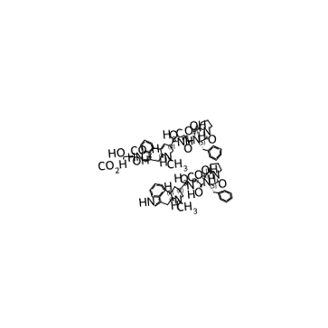 CN1C[C@H](C(=O)N[C@]2(C)O[C@@]3(O)[C@@H]4CCCN4C(=O)[C@H](Cc4ccccc4)N3C2=O)C=C2c3cccc4[nH]cc(c34)C[C@H]21.CN1C[C@H](C(=O)N[C@]2(C)O[C@@]3(O)[C@@H]4CCCN4C(=O)[C@H](Cc4ccccc4)N3C2=O)C[C@@H]2c3cccc4[nH]cc(c34)C[C@H]21.O=C(O)C(O)C(O)C(=O)O